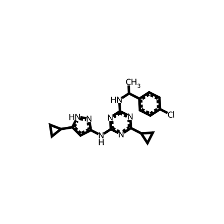 CC(Nc1nc(Nc2cc(C3CC3)[nH]n2)nc(C2CC2)n1)c1ccc(Cl)cc1